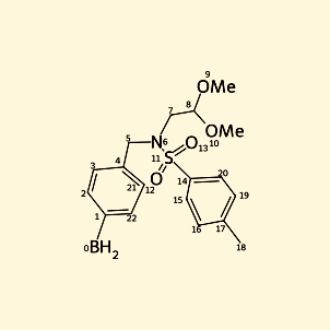 Bc1ccc(CN(CC(OC)OC)S(=O)(=O)c2ccc(C)cc2)cc1